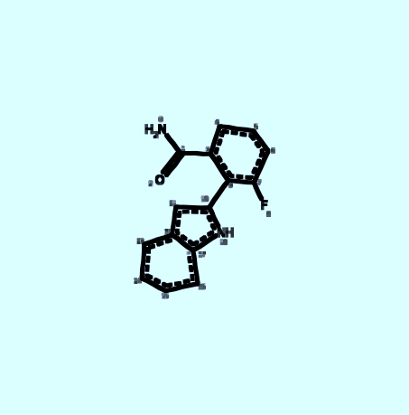 NC(=O)c1cccc(F)c1-c1cc2ccccc2[nH]1